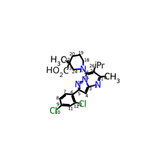 Cc1nc2cc(-c3ccc(Cl)cc3Cl)nn2c(N2CCCC(C)(C(=O)O)C2)c1C(C)C